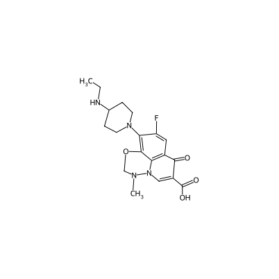 CCNC1CCN(c2c(F)cc3c(=O)c(C(=O)O)cn4c3c2OCN4C)CC1